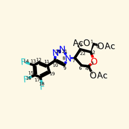 CC(=O)OC[C@H]1OC(OC(C)=O)C[C@@H](n2cc(-c3cc(F)c(F)c(F)c3)nn2)[C@@H]1OC(C)=O